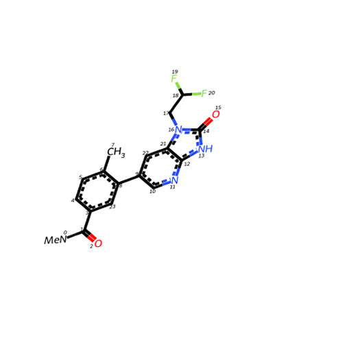 CNC(=O)c1ccc(C)c(-c2cnc3[nH]c(=O)n(CC(F)F)c3c2)c1